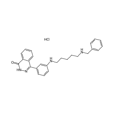 Cl.O=c1[nH]nc(-c2cccc(NCCCCCNCc3ccccc3)c2)c2ccccc12